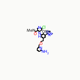 CNC(=O)c1cnc(Cl)cc1Nc1cc(CCOCc2cccc(N)n2)cc(-c2ncn(C)n2)c1OC